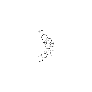 CC[C@H](CC(=O)[C@@H](C)[C@H]1CC[C@H]2[C@@H]3CC=C4C[C@@H](O)CC[C@]4(C)[C@H]3CC[C@]12C)C(C)C